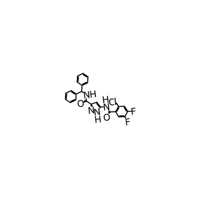 O=C(NC(c1ccccc1)c1ccccc1)c1cc(NC(=O)c2cc(F)c(F)cc2Cl)[nH]n1